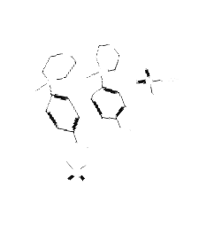 COS(=O)(=O)[O-].CS(=O)(=O)[O-].C[N+]1(c2ccc(C=O)cc2)CCOCC1.C[N+]1(c2ccc(C=O)cc2)CCOCC1